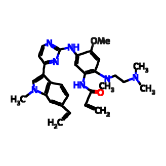 C=CC(=O)Nc1cc(Nc2nccc(-c3cn(C)c4cc(C=C)ccc34)n2)c(OC)cc1N(C)CCN(C)C